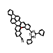 N#Cc1ccc2cc(-c3ccc4c5c(ccc(-c6ccc7cc(-c8nc(-c9ccccc9)nc(-c9ccccc9)n8)ccc7c6)c35)-c3ccccc3-4)ccc2c1